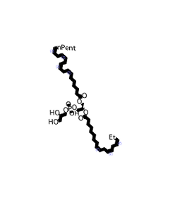 CC/C=C\C/C=C\C/C=C\CCCCCCCC(=O)O[C@H](COC(=O)CCCCC/C=C\C/C=C\C/C=C\C/C=C\CCCCC)COP(=O)(O)OC[C@@H](O)CO